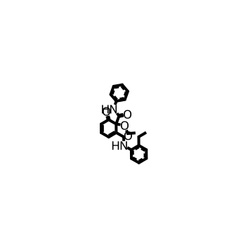 CCOC1(C(=O)Nc2ccccc2)C(=O)C=CC=C1C(=O)Nc1ccccc1CC